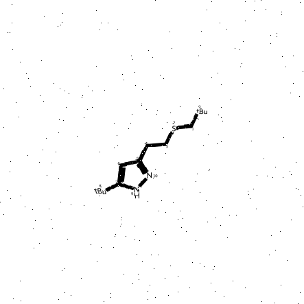 CC(C)(C)CSCCc1cc(C(C)(C)C)[nH]n1